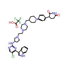 O=C(O)C(F)(F)F.O=C1CCC(c2ccc(N3CCC(CN4CCN(CCN5CC[C@@H](Nc6ncc(Cl)c(-c7c[nH]c8ccccc78)n6)C5)CC4)CC3)cc2)C(=O)N1